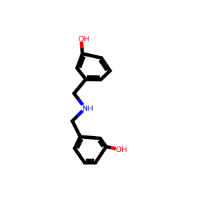 Oc1cccc(CNCc2cccc(O)c2)c1